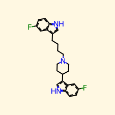 Fc1ccc2[nH]cc(CCCCN3CCC(c4c[nH]c5ccc(F)cc45)CC3)c2c1